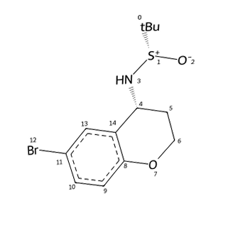 CC(C)(C)[S@+]([O-])N[C@@H]1CCOc2ccc(Br)cc21